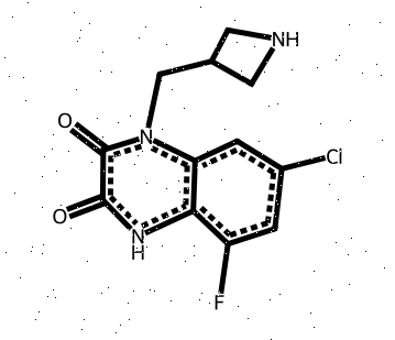 O=c1[nH]c2c(F)cc(Cl)cc2n(CC2CNC2)c1=O